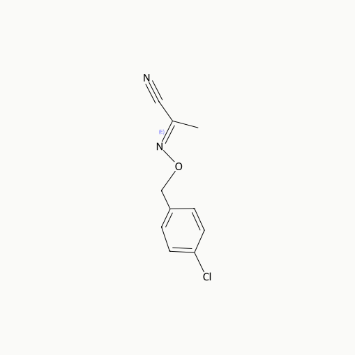 C/C(C#N)=N\OCc1ccc(Cl)cc1